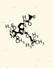 COc1ncnc(OC)c1-c1cn(COCC[Si](C)(C)C)c2nc(NC(=O)[C@@H]3C[C@@H]3F)ccc12